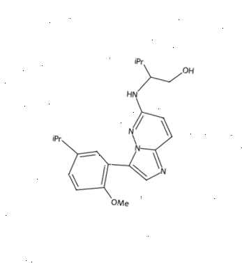 COc1ccc(C(C)C)cc1-c1cnc2ccc(NC(CO)C(C)C)nn12